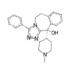 CN1CCC(C2(O)c3ccccc3CCn3c(-c4ccccc4)nnc32)CC1